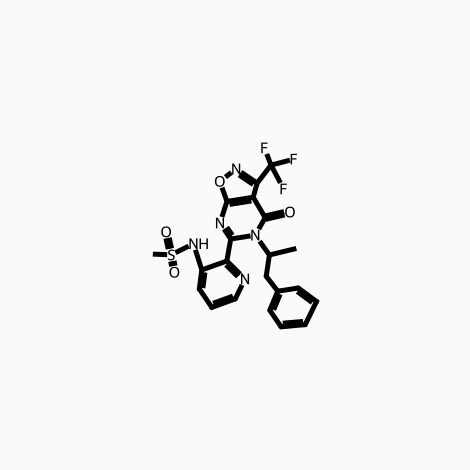 CC(Cc1ccccc1)n1c(-c2ncccc2NS(C)(=O)=O)nc2onc(C(F)(F)F)c2c1=O